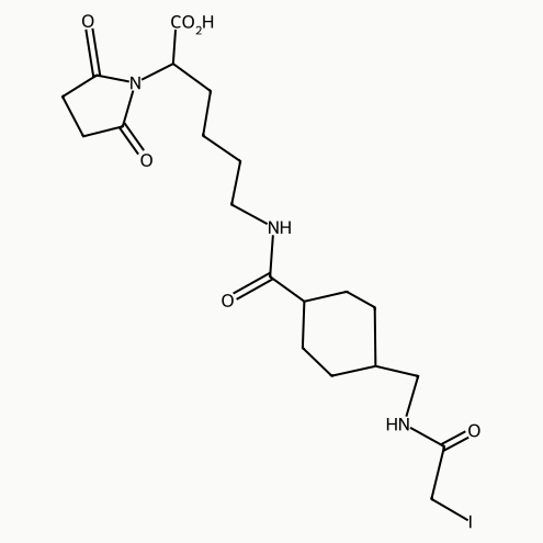 O=C(CI)NCC1CCC(C(=O)NCCCCC(C(=O)O)N2C(=O)CCC2=O)CC1